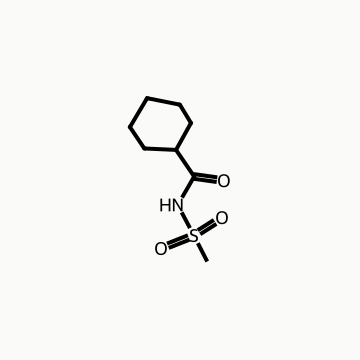 CS(=O)(=O)NC(=O)C1CCCCC1